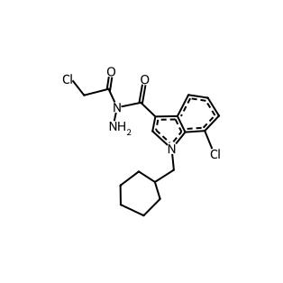 NN(C(=O)CCl)C(=O)c1cn(CC2CCCCC2)c2c(Cl)cccc12